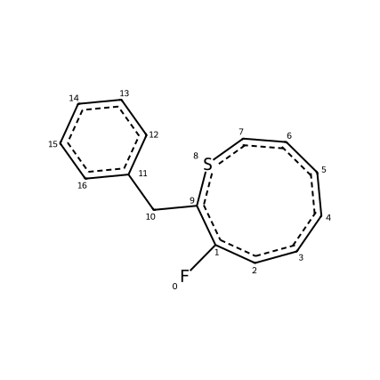 Fc1ccccccsc1Cc1ccccc1